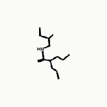 C=C(NCC(C)CC)C(CCC)CCC